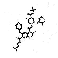 C[C@@H]1CN(CC(=O)N2c3cc(Cc4ccc(F)cc4)c(C(=O)NCCN(C)C)nc3OC[C@@H]2C)[C@@H](CN2[C@H](C)COC[C@H]2C)CN1C(=O)OC(C)(C)C